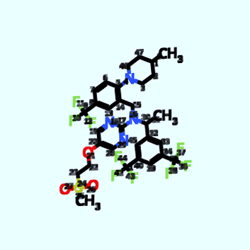 CC1CCN(c2ccc(C(F)(F)F)cc2CN(c2ncc(OCCS(C)(=O)=O)cn2)C(C)c2cc(C(F)(F)F)cc(C(F)(F)F)c2)CC1